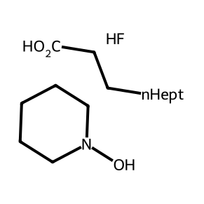 CCCCCCCCCC(=O)O.F.ON1CCCCC1